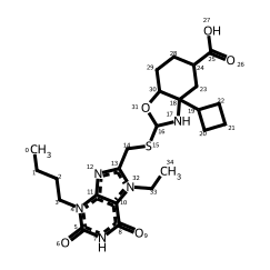 CCCCn1c(=O)[nH]c(=O)c2c1nc(CSC1NC3(C4CCC4)CC(C(=O)O)CCC3O1)n2CC